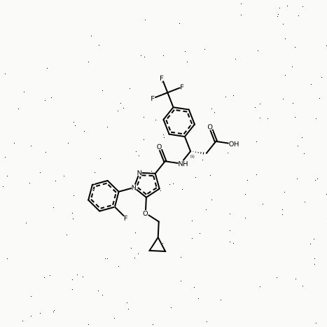 O=C(O)C[C@H](NC(=O)c1cc(OCC2CC2)n(-c2ccccc2F)n1)c1ccc(C(F)(F)F)cc1